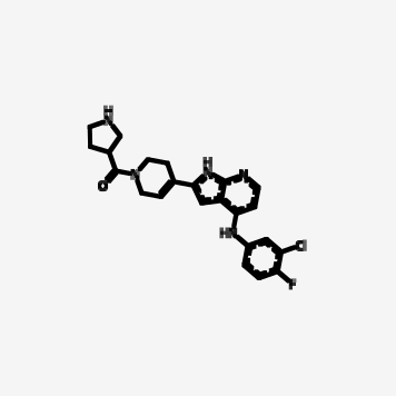 O=C(C1CCNC1)N1CC=C(c2cc3c(Nc4ccc(F)c(Cl)c4)ccnc3[nH]2)CC1